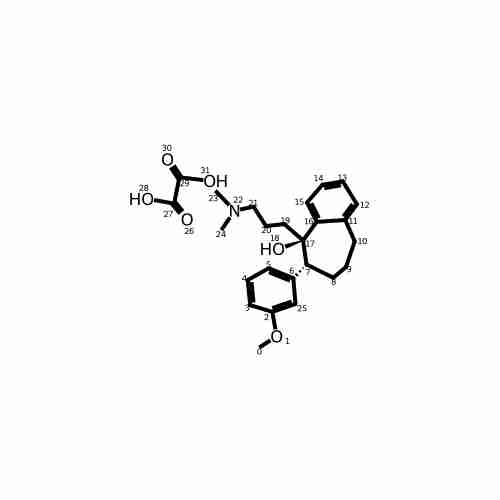 COc1cccc([C@H]2CCCc3ccccc3[C@@]2(O)CCCN(C)C)c1.O=C(O)C(=O)O